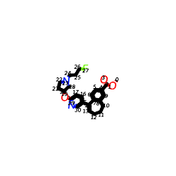 COC(=O)c1ccc2c(c1)CCCC=C2c1ccc(O[C@H]2CCN(CCCF)C2)nc1